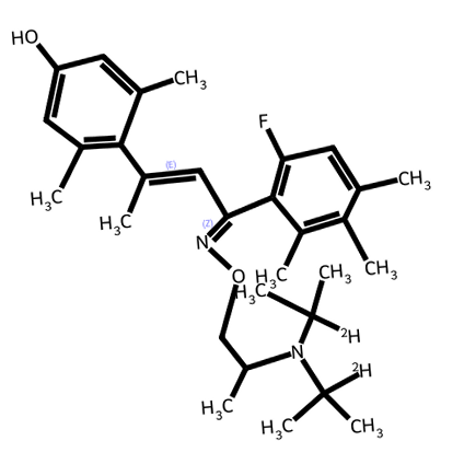 [2H]C(C)(C)N(C(C)CO/N=C(/C=C(\C)c1c(C)cc(O)cc1C)c1c(F)cc(C)c(C)c1C)C([2H])(C)C